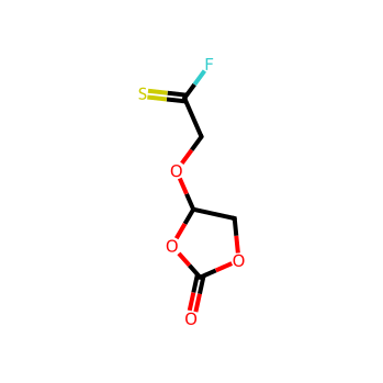 O=C1OCC(OCC(F)=S)O1